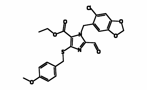 CCOC(=O)c1c(SCc2ccc(OC)cc2)nc(C=O)n1Cc1cc2c(cc1Cl)OCO2